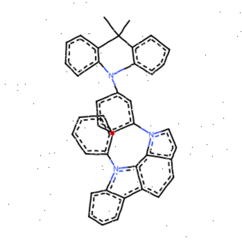 CC1(C)c2ccccc2N(c2cccc(-n3ccc4ccc5c6ccccc6n(-c6ccccc6)c5c43)c2)c2ccccc21